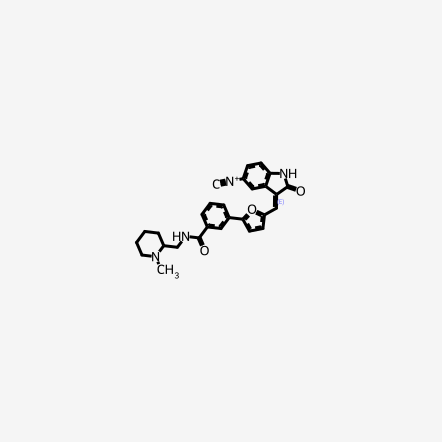 [C-]#[N+]c1ccc2c(c1)/C(=C\c1ccc(-c3cccc(C(=O)NCC4CCCCN4C)c3)o1)C(=O)N2